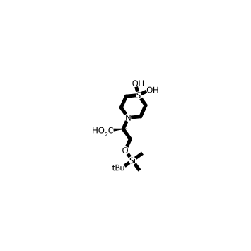 CC(C)(C)[Si](C)(C)OC[C@@H](C(=O)O)N1CCS(O)(O)CC1